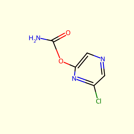 NC(=O)Oc1cncc(Cl)n1